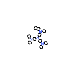 c1ccc(N(c2ccccc2)c2ccc(N(c3ccc(N(c4ccccc4)c4ccccc4)cc3)c3ccc(N(c4ccccc4)c4ccc5ccccc5c4)cc3)cc2)cc1